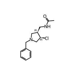 CC(=O)NC[C@@H]1CN(Cc2ccccc2)C[C@@H]1Cl